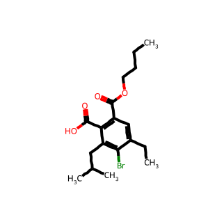 CCCCOC(=O)c1cc(CC)c(Br)c(CC(C)C)c1C(=O)O